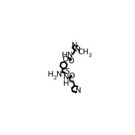 Cn1cncc1CNC(=O)OC1CCc2c(sc(NC(=O)/C=C/c3cccnc3)c2N)C1